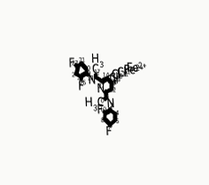 CC(=Nc1ccc(F)cc1F)c1cccc(C(C)=Nc2ccc(F)cc2F)n1.[Cl-].[Cl-].[Cl-].[Cl-].[Fe+2].[Fe+2]